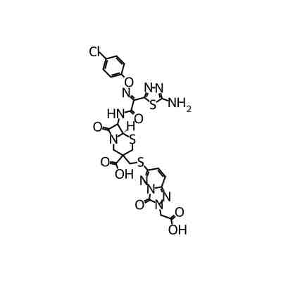 Nc1nnc(C(=NOc2ccc(Cl)cc2)C(=O)NC2C(=O)N3CC(CSc4ccc5nn(CC(=O)O)c(=O)n5n4)(C(=O)O)CS[C@H]23)s1